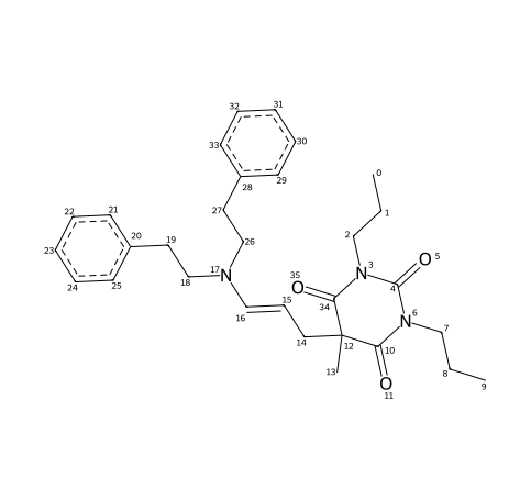 CCCN1C(=O)N(CCC)C(=O)C(C)(C/C=C/N(CCc2ccccc2)CCc2ccccc2)C1=O